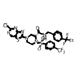 CCC(F)(F)c1ccc(CNC(=O)[C@H]2CN(c3nc4nc(Cl)ncc4s3)CCN2S(=O)(=O)c2ccc(C(F)(F)F)cc2)cc1